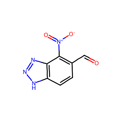 O=Cc1ccc2[nH]nnc2c1[N+](=O)[O-]